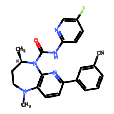 C[C@@H]1CCN(C)c2ccc(-c3cccc(C#N)c3)nc2N1C(=O)Nc1ccc(F)cn1